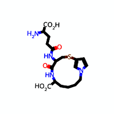 NC(CCC(=O)NC1CSc2ccn(c2)CCCCC(C(=O)O)NC1=O)C(=O)O